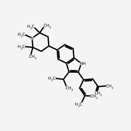 C=C(C)/C=C(\C=C(C)C)c1[nH]c2ccc(C3CC(C)(C)N(C)C(C)(C)C3)cc2c1C(C)C